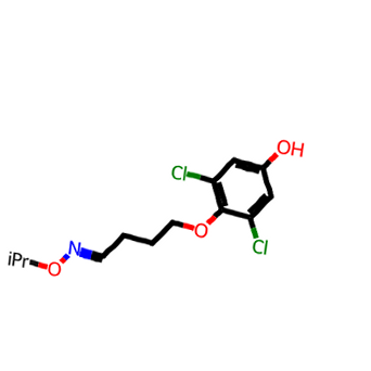 CC(C)O/N=C/CCCOc1c(Cl)cc(O)cc1Cl